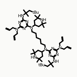 C=CCN(CC=C)c1nc(NC(C)(C)CC(C)(C)C)nc(N(CCCCCCN(c2nc(NC(C)(C)CC(C)(C)C)nc(N(CC=C)CC=C)n2)C2CC(C)(C)NC(C)(C)C2)C2CC(C)(C)NC(C)(C)C2)n1